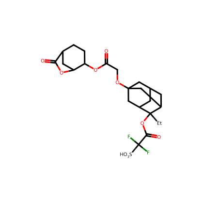 CCC1(OC(=O)C(F)(F)S(=O)(=O)O)C2CC3CC1CC(OCC(=O)OC1CCC4CC1OC4=O)(C3)C2